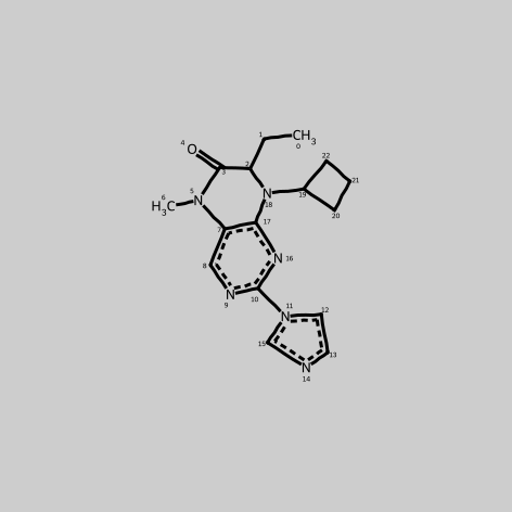 CCC1C(=O)N(C)c2cnc(-n3ccnc3)nc2N1C1CCC1